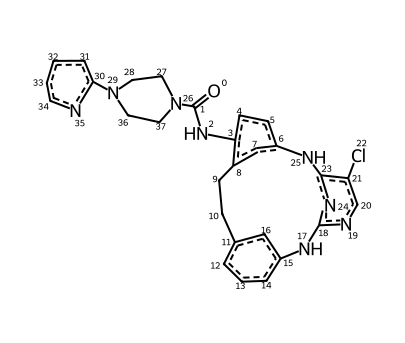 O=C(Nc1ccc2cc1CCc1cccc(c1)Nc1ncc(Cl)c(n1)N2)N1CCN(c2ccccn2)CC1